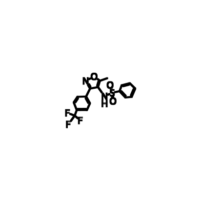 Cc1onc(-c2ccc(C(F)(F)F)cc2)c1NS(=O)(=O)c1ccccc1